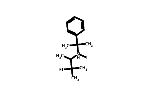 CCC(C)(C)C(C)[SiH](I)C(C)(C)c1ccccc1